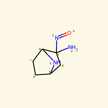 NC1(N=O)CC2CCC1N2